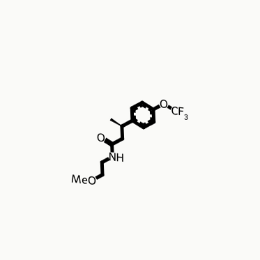 COCCNC(=O)C[C@@H](C)c1ccc(OC(F)(F)F)cc1